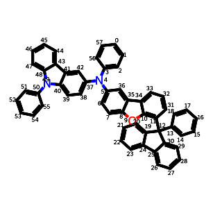 c1ccc(N(c2ccc3oc4c(C5(c6ccccc6)c6ccccc6-c6ccccc65)cccc4c3c2)c2ccc3c(c2)c2ccccc2n3-c2ccccc2)cc1